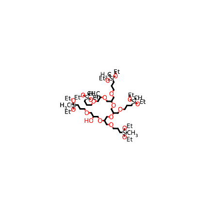 CCO[Si](C)(CCCOCC(O)COC(COCCC[Si](C)(OCC)OCC)COC(COCCC[Si](C)(OCC)OCC)COC(COCCC[Si](C)(OCC)OCC)COC(C)COCCC[Si](C)(OCC)OCC)OCC